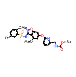 CCc1ccc(OC)c(S(=O)(=O)Nc2noc3cc(Oc4cccc(CNC(=O)OC(C)(C)C)n4)cc(OC)c23)c1